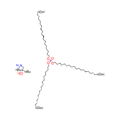 CCCCC(O)(CN)CCCC.CCCCCCCCCCCCCCCCCCCCCCCCCCCCOP(=O)(OCCCCCCCCCCCCCCCCCCCCCCCCCCCC)OCCCCCCCCCCCCCCCCCCCCCCCCCCCC